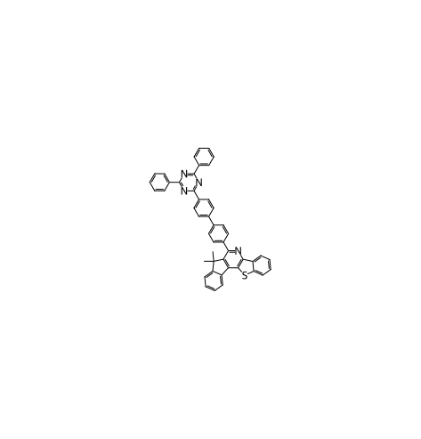 CC1(C)c2ccccc2-c2c1c(-c1ccc(-c3ccc(-c4nc(-c5ccccc5)nc(-c5ccccc5)n4)cc3)cc1)nc1c2sc2ccccc21